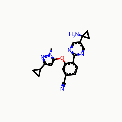 Cn1nc(C2CC2)cc1Oc1cc(C#N)ccc1-c1ncc(C2(N)CC2)cn1